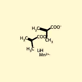 C=C(C)C(=O)[O-].C=C(C)C(=O)[O-].[LiH].[Mn+2]